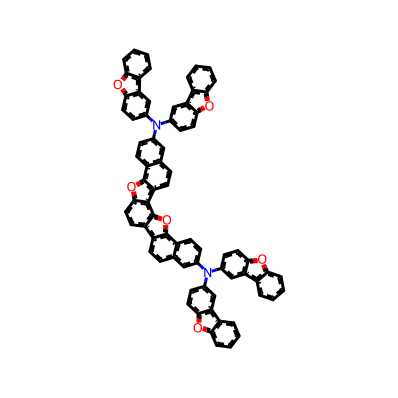 c1ccc2c(c1)oc1ccc(N(c3ccc4c(ccc5c6ccc7oc8c9ccc(N(c%10ccc%11oc%12ccccc%12c%11c%10)c%10ccc%11oc%12ccccc%12c%11c%10)cc9ccc8c7c6oc45)c3)c3ccc4oc5ccccc5c4c3)cc12